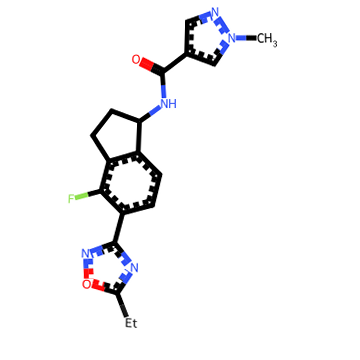 CCc1nc(-c2ccc3c(c2F)CCC3NC(=O)c2cnn(C)c2)no1